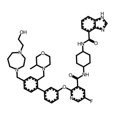 CC1COCCN1Cc1cc(CN2CCCN(CCO)CC2)ccc1-c1cccc(Oc2ncc(F)cc2C(=O)NC2CCC(NC(=O)c3cccc4[nH]cnc34)CC2)c1